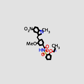 C/C=C\Oc1ccccc1S(=O)(=O)NC(=O)c1ccc(Cc2cn(C)c3ccc([N+](=O)[O-])cc23)c(OC)c1